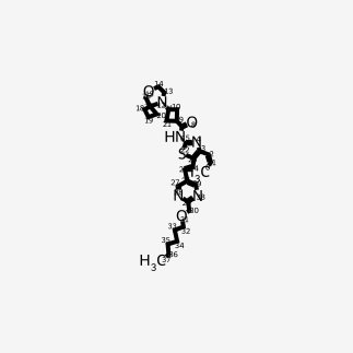 C/C=C\c1nc(NC(=O)C2CC(N3CCOCC34CCC4)C2)sc1/C=C/c1cnc(COCCCCCC)nc1